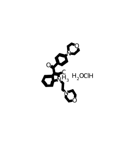 Cc1c(C(=O)c2ccc(N3CCOCC3)cc2)c2ccccc2n1CCN1CCOCC1.Cl.O